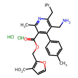 Cc1ccc(-c2c(CN)c(CC(C)C)nc(C)c2C(=O)OCc2occc2C(=O)O)cc1.Cl.Cl